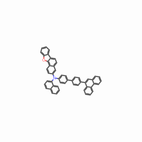 c1ccc2c(N(c3ccc(-c4ccc(-c5cc6ccccc6c6ccccc56)cc4)cc3)c3ccc4c(ccc5c6ccccc6oc45)c3)cccc2c1